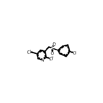 O=S(=O)(Cc1cc(Cl)cnc1Cl)c1ccc(Cl)cc1